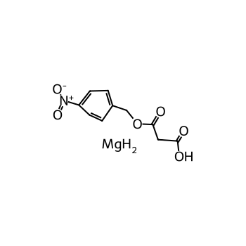 O=C(O)CC(=O)OCc1ccc([N+](=O)[O-])cc1.[MgH2]